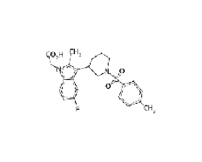 Cc1ccc(S(=O)(=O)N2CCCC(c3c(C)n(CC(=O)O)c4ccc(F)cc34)C2)cc1